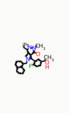 CC(C)Cc1nn(C)c(=O)c2c(-c3cc(C(C)O)ccc3F)n(Cc3cccc4ccccc34)cc12